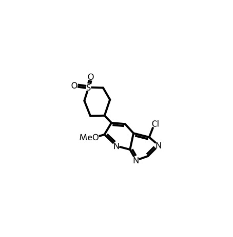 COc1nc2ncnc(Cl)c2cc1C1CCS(=O)(=O)CC1